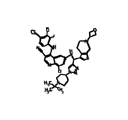 CC(C)(C)N1CCC(n2cc([C@@H](Nc3cc(Cl)c4ncc(C#N)c(Nc5ccc(Cl)c(Cl)c5F)c4c3)c3csc4c3CCN(C3COC3)C4)nn2)CC1